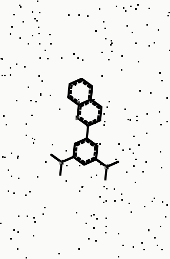 CN(C)c1cc(-c2ccc3ccccc3n2)cc(N(C)C)c1